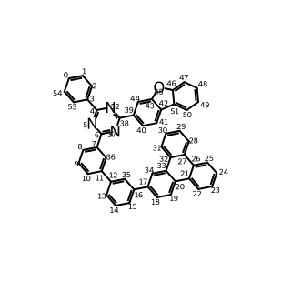 c1ccc(-c2nc(-c3cccc(-c4cccc(-c5ccc6c7ccccc7c7ccccc7c6c5)c4)c3)nc(-c3ccc4c(c3)oc3ccccc34)n2)cc1